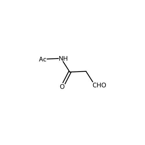 CC(=O)NC(=O)CC=O